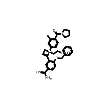 CCOC(=O)CC[N+]1(c2ccc(C(=O)N3CCCC3)c(C)c2)CC=C1c1cc(C(=N)N)ccc1OCc1ccccc1